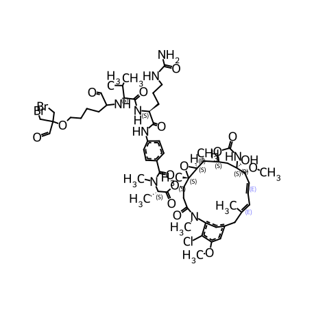 COc1cc2cc(c1Cl)N(C)C(=O)C[C@H](OC(=O)[C@H](C)N(C)C(=O)c1ccc(NC(=O)[C@H](CCCNC(N)=O)NC(=O)[C@@H](NC(C=O)CCCCOC(C=O)(CBr)CBr)C(C)C)cc1)[C@]1(C)O[C@H]1[C@H](C)[C@@H]1C[C@@](O)(NC(=O)O1)[C@H](OC)/C=C/C=C(\C)C2